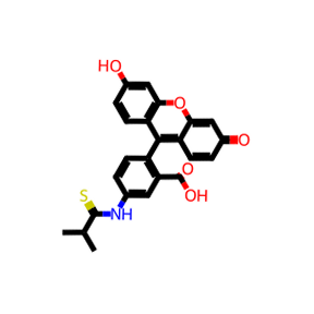 CC(C)C(=S)Nc1ccc(-c2c3ccc(=O)cc-3oc3cc(O)ccc23)c(C(=O)O)c1